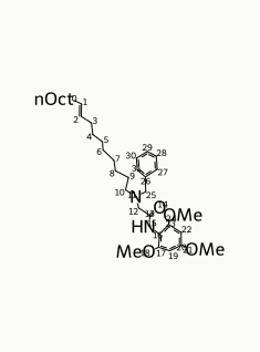 CCCCCCCCC=CCCCCCCCCN(CC(=O)Nc1c(OC)cc(OC)cc1OC)Cc1ccccc1